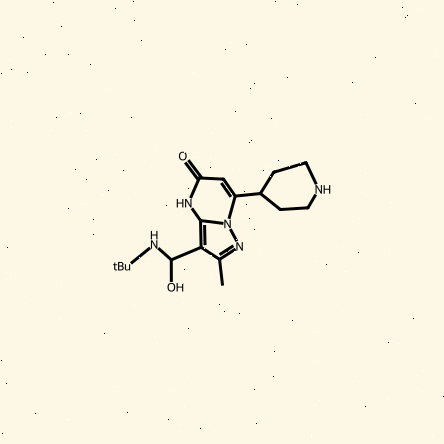 Cc1nn2c(C3CCNCC3)cc(=O)[nH]c2c1C(O)NC(C)(C)C